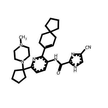 CN1CCN(C2(c3ccc(NC(=O)c4nc(C#N)c[nH]4)c(C4=CCC5(CCCC5)CC4)n3)CCCC2)CC1